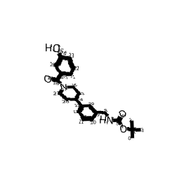 CC(C)(C)OC(=O)NCc1cccc(C2CCN(C(=O)c3cccc(O)c3)CC2)c1